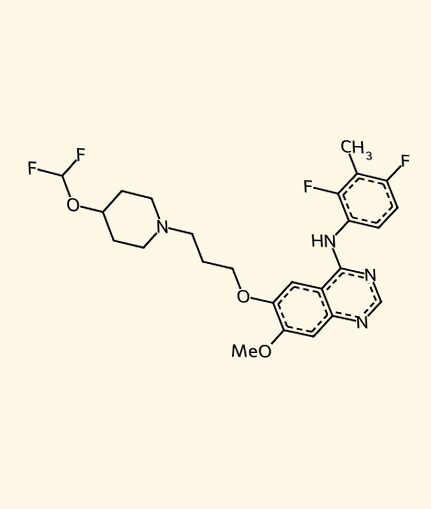 COc1cc2ncnc(Nc3ccc(F)c(C)c3F)c2cc1OCCCN1CCC(OC(F)F)CC1